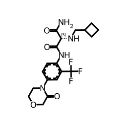 NC(=O)[C@H](NCC1CCC1)C(=O)Nc1ccc(N2CCOCC2=O)cc1C(F)(F)F